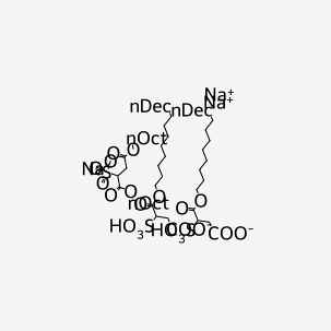 CCCCCCCCCCCCCCCCCCOC(=O)C(CC(=O)[O-])S(=O)(=O)O.CCCCCCCCCCCCCCCCCCOC(=O)C(CC(=O)[O-])S(=O)(=O)O.CCCCCCCCOC(=O)CC(C(=O)OCCCCCCCC)S(=O)(=O)[O-].[Na+].[Na+].[Na+]